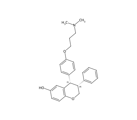 CN(C)CCCOc1ccc([C@H]2c3cc(O)ccc3OC[C@H]2c2ccccc2)cc1